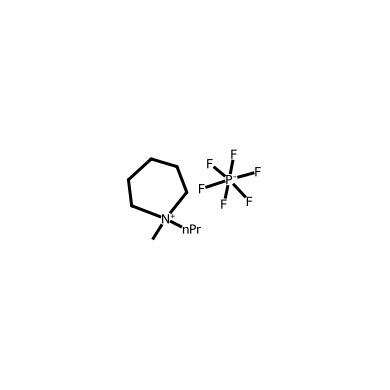 CCC[N+]1(C)CCCCC1.F[P-](F)(F)(F)(F)F